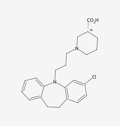 O=C(O)[C@@H]1CCCN(CCCN2c3ccccc3CCc3ccc(Cl)cc32)C1